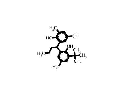 CCCC(c1cc(C)cc(C)c1O)c1cc(C)cc(C(C)(C)C)c1O